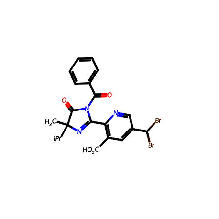 CC(C)C1(C)N=C(c2ncc(C(Br)Br)cc2C(=O)O)N(C(=O)c2ccccc2)C1=O